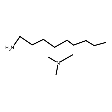 CCCCCCCCCN.CN(C)C